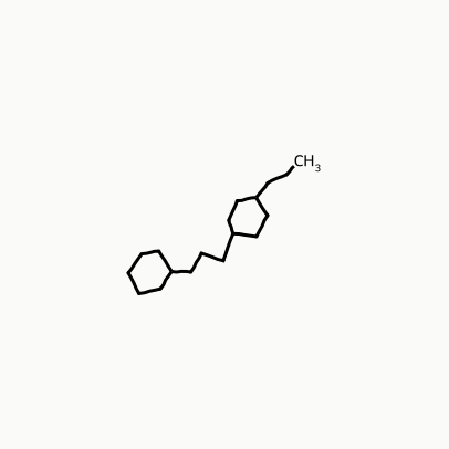 CCCC1CCC(CCCC2CCCCC2)CC1